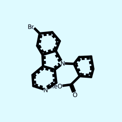 COC(=O)c1ccccc1-n1c2ccc(Br)cc2c2ccncc21